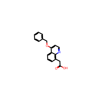 O=C(O)Cc1cccc2c(OCc3ccccc3)ccnc12